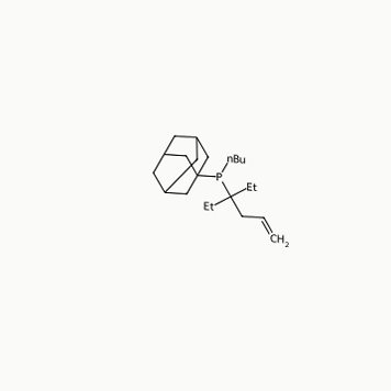 C=CCC(CC)(CC)P(CCCC)C12CC3CC(CC(C3)C1)C2